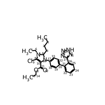 CCCCC1N(CC)C(Cl)=C(C(=O)OCC)N1c1ccc(-c2ccccc2-c2nn[nH]n2)cc1